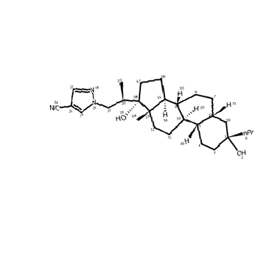 CCC[C@@]1(O)CC[C@H]2[C@H](CC[C@@H]3[C@@H]2CC[C@@]2(C)[C@H]3CC[C@]2(O)[C@H](C)Cn2cc(C#N)cn2)C1